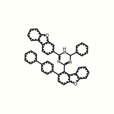 c1ccc(-c2ccc(-c3ccc4oc5ccccc5c4c3C3=NC(c4ccccc4)NC(c4ccc5c(c4)oc4ccccc45)=N3)cc2)cc1